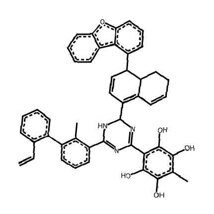 C=Cc1ccccc1-c1cccc(C2=NC(c3c(O)c(O)c(C)c(O)c3O)=NC(C3=C4C=CCCC4C(c4cccc5oc6ccccc6c45)C=C3)N2)c1C